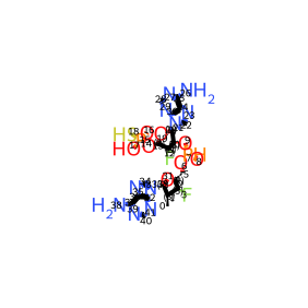 C[C@@H]1[C@H](F)[C@@H](CO[PH](=O)O[C@@H]2[C@H](F)[C@@H](OP(=O)(O)S)O[C@H]2n2cnc3c(N)ncnc32)O[C@H]1n1cnc2c(N)ncnc21